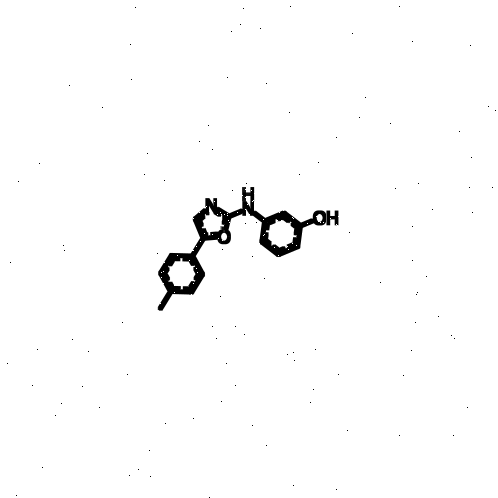 Cc1ccc(-c2cnc(Nc3cccc(O)c3)o2)cc1